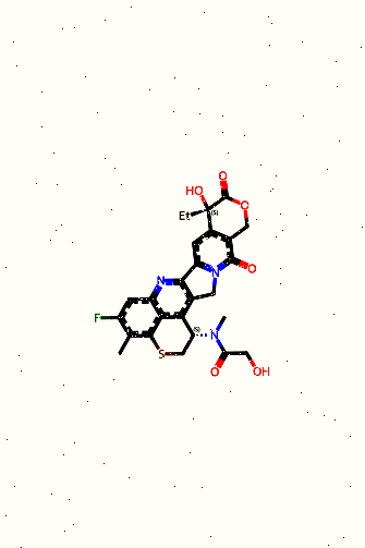 CC[C@@]1(O)C(=O)OCc2c1cc1n(c2=O)Cc2c-1nc1cc(F)c(C)c3c1c2[C@H](N(C)C(=O)CO)CS3